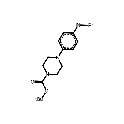 CC(C)Nc1ccc(N2CCN(C(=O)OC(C)(C)C)CC2)cc1